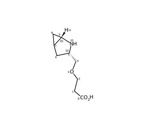 O=C(O)CCOC[C@@H]1CC2C[C@@H]2N1